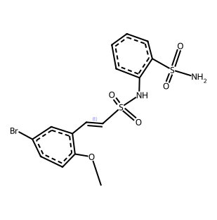 COc1ccc(Br)cc1/C=C/S(=O)(=O)Nc1ccccc1S(N)(=O)=O